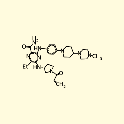 C=CC(=O)N1CC[C@@H](Nc2nc(Nc3ccc(N4CCC(N5CCN(C)CC5)CC4)cc3)c(C(N)=O)nc2CC)C1